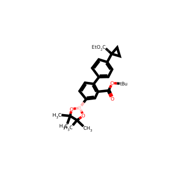 CCOC(=O)C1(c2ccc(-c3ccc(B4OC(C)(C)C(C)(C)O4)cc3C(=O)OC(C)(C)C)cc2)CC1